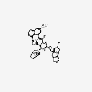 C#Cc1cccc2cc(O)cc(-c3ncc4c(N5CC6CCC(C5)N6)nc(OCC56CC(F)CN5C5CCCC5C6)nc4c3F)c12